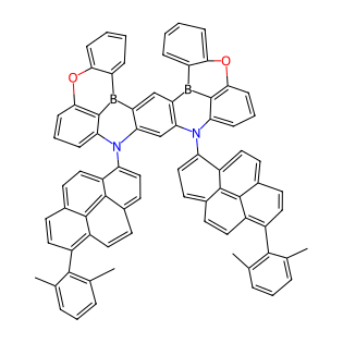 Cc1cccc(C)c1-c1ccc2ccc3c(N4c5cc6c(cc5B5c7ccccc7Oc7cccc4c75)B4c5ccccc5Oc5cccc(c54)N6c4ccc5ccc6c(-c7c(C)cccc7C)ccc7ccc4c5c76)ccc4ccc1c2c43